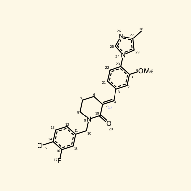 COc1cc(/C=C2\CCCN(Cc3ccc(Cl)c(F)c3)C2=O)ccc1-n1cnc(C)c1